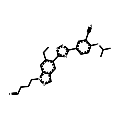 CCc1cc2c(cnn2CCCC=O)cc1-c1noc(-c2ccc(OC(C)C)c(C#N)c2)n1